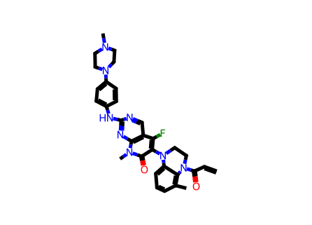 C=CC(=O)N1CCN(c2c(F)c3cnc(Nc4ccc(N5CCN(C)CC5)cc4)nc3n(C)c2=O)c2cccc(C)c21